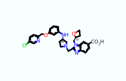 O=C(O)c1ccc2nc(CN3CC[C@@H](Nc4cccc(OCc5ccc(Cl)cn5)c4)C3)n(C[C@@H]3CCO3)c2c1